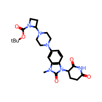 Cn1c(=O)n(C2CCC(=O)NC2=O)c2ccc(N3CCN(C4CCN4C(=O)OC(C)(C)C)CC3)cc21